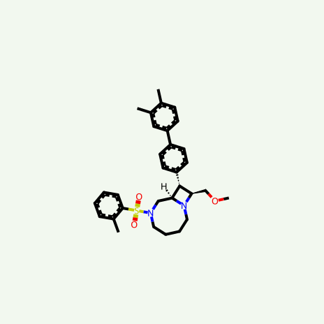 COC[C@@H]1[C@@H](c2ccc(-c3ccc(C)c(C)c3)cc2)[C@@H]2CN(S(=O)(=O)c3ccccc3C)CCCCN12